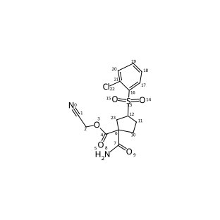 N#CCOC(=O)C1(C(N)=O)CCC(S(=O)(=O)c2ccccc2Cl)C1